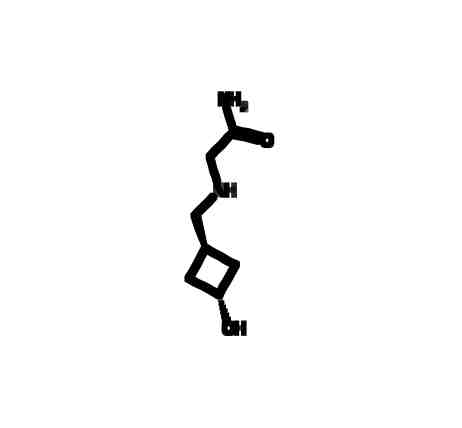 NC(=O)CNC[C@H]1C[C@H](O)C1